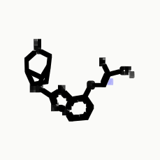 F/C(=C\Oc1cccn2nc(NC3C4CCC3CNC4)nc12)C(F)(F)F